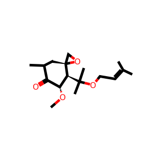 CO[C@@H]1C(=O)C(C)C[C@]2(CO2)[C@H]1C(C)(C)OCC=C(C)C